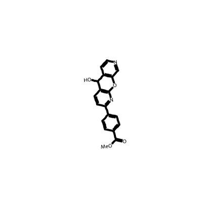 COC(=O)c1ccc(-c2ccc3c(n2)Oc2cnccc2C3O)cc1